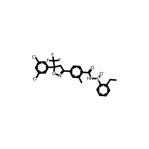 CCc1ccccc1[S+]([O-])NC(=O)c1ccc(C2=NOC(c3cc(Cl)cc(Cl)c3)(C(F)(F)F)C2)cc1C